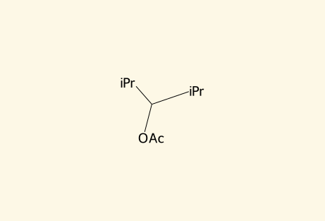 CC(=O)OC(C(C)C)C(C)C